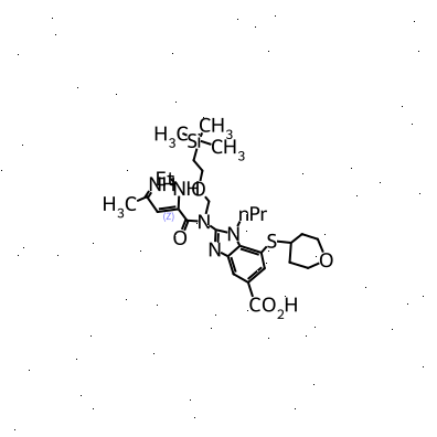 CCCn1c(N(COCC[Si](C)(C)C)C(=O)/C(=C/C(C)=N)NCC)nc2cc(C(=O)O)cc(SC3CCOCC3)c21